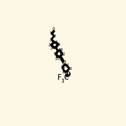 C=CCCc1ccc(-c2ccc(C#C[C@H]3CC[C@H](OC(F)(F)F)CC3)cc2)cc1